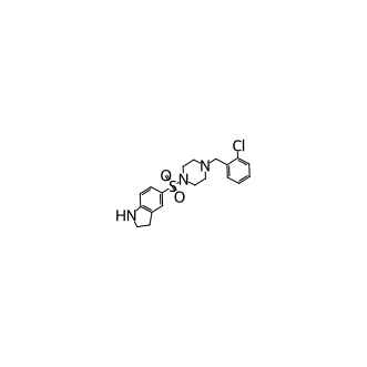 O=S(=O)(c1ccc2c(c1)CCN2)N1CCN(Cc2ccccc2Cl)CC1